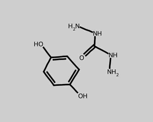 NNC(=O)NN.Oc1ccc(O)cc1